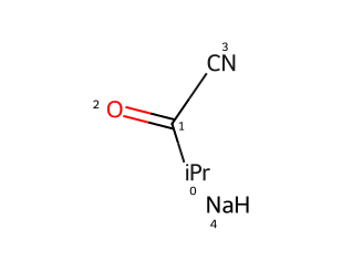 CC(C)C(=O)C#N.[NaH]